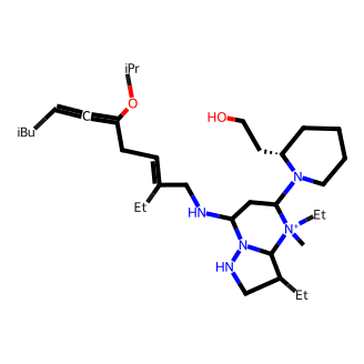 CC/C(=C\CC(=C=CC(C)CC)OC(C)C)CNC1CC(N2CCCC[C@H]2CCO)[N+](C)(CC)C2C(CC)CNN12